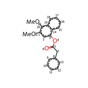 COc1cc(OC(=O)Cc2ccccc2)c2ccccc2c1OC